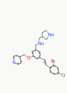 Clc1ccc(/C=C/c2cc(CNCC3CCNC3)cc(OCc3ccncc3)c2)c(Br)c1